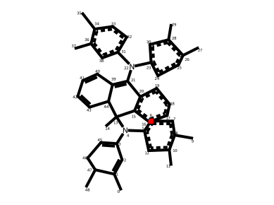 CC1=CC(N(c2ccc(C)c(C)c2)C2(C)c3ccccc3C(N(c3ccc(C)c(C)c3)c3ccc(C)c(C)c3)=C3C=CC=CC32)=CCC1C